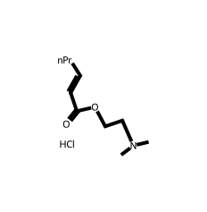 CCCC=CC(=O)OCCN(C)C.Cl